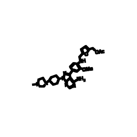 COc1cc(-c2nn(C3CCC(N4CCN(C)CC4)CC3)c3ncnc(N)c23)ccc1NCc1ccc(COC(C)=O)o1